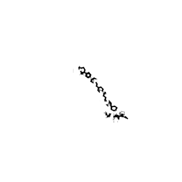 CCOC(=O)c1cnc(Nc2cnn(C)c2)nc1NC1CCC(N2CCN(C(=O)CCC(=O)N3CCC(CCN4CCN(c5ccc(C6CCC(=O)NC6=O)cc5)CC4)CC3)CC2)CC1